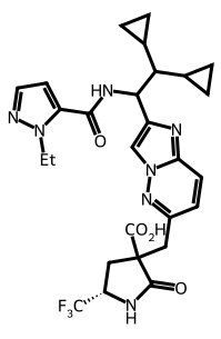 CCn1nccc1C(=O)NC(c1cn2nc(CC3(C(=O)O)C[C@@H](C(F)(F)F)NC3=O)ccc2n1)C(C1CC1)C1CC1